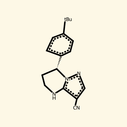 CC(C)(C)c1ccc([C@H]2CCNc3c(C#N)cnn32)cc1